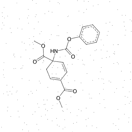 COC(=O)C1=CCC(NC(=O)Oc2ccccc2)(C(=O)OC)C=C1